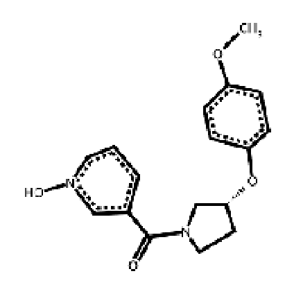 COc1ccc(O[C@@H]2CCN(C(=O)c3ccc[n+](O)c3)C2)cc1